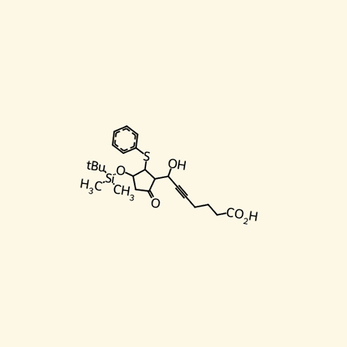 CC(C)(C)[Si](C)(C)OC1CC(=O)C(C(O)C#CCCCC(=O)O)C1Sc1ccccc1